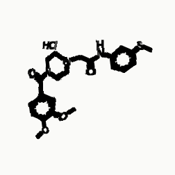 COc1ccc(C(=O)N2CCN(CC(=O)Nc3cccc(SC)c3)CC2)cc1OC.Cl